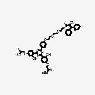 CCCCC(CC)COc1ccc(-c2nc(-c3ccc(OCCOCCOCCOC(=O)C(C#N)=C(c4ccccc4)c4ccccc4)cc3)nc(-c3ccc(OCC(CC)CCCC)cc3O)n2)c(O)c1